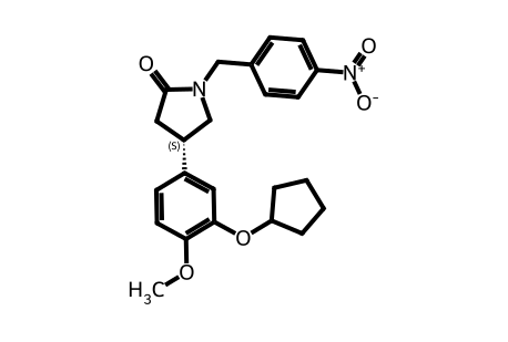 COc1ccc([C@@H]2CC(=O)N(Cc3ccc([N+](=O)[O-])cc3)C2)cc1OC1CCCC1